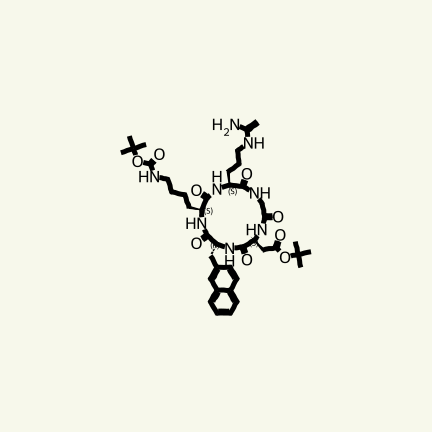 C=C(N)NCCC[C@@H]1NC(=O)[C@H](CCCCNC(=O)OC(C)(C)C)NC(=O)[C@@H](Cc2ccc3ccccc3c2)NC(=O)[C@H](CC(=O)OC(C)(C)C)NC(=O)CNC1=O